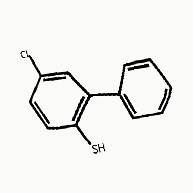 Sc1ccc(Cl)cc1-c1ccccc1